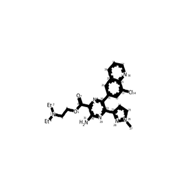 CCN(CC)CCOC(=O)c1nc(-c2cc(Cl)c3ncccc3c2)c(-c2ccn(C)n2)nc1N